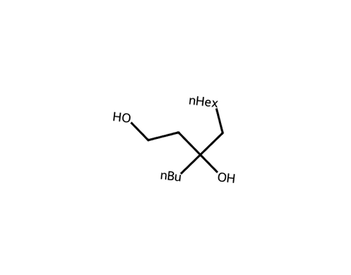 CCCCCCCC(O)(CCO)CCCC